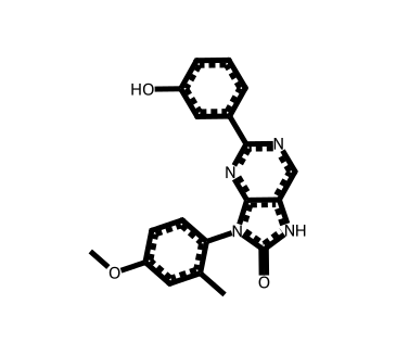 COc1ccc(-n2c(=O)[nH]c3cnc(-c4cccc(O)c4)nc32)c(C)c1